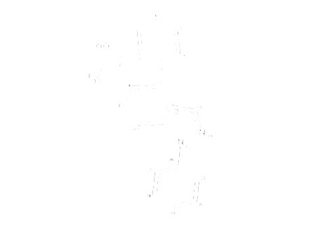 OC(c1ccccc1)(c1ccc2c(cnn2-c2ccccc2)c1)C(F)(F)F